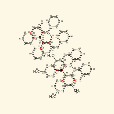 Cc1ccc(P(c2ccc(C)cc2)c2ccc3ccccc3c2-c2c(P(c3ccc(C)cc3)c3ccc(C)cc3)ccc3ccccc23)cc1.c1ccc(P(c2ccccc2)c2ccc3ccccc3c2-c2c(P(c3ccccc3)c3ccccc3)ccc3ccccc23)cc1